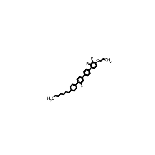 C=CCOc1ccc(-c2ccc(-c3ccc(C4=CCC(CCCCCCC)CC4)c(F)c3)cc2)c(F)c1F